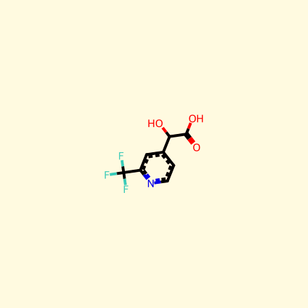 O=C(O)C(O)c1ccnc(C(F)(F)F)c1